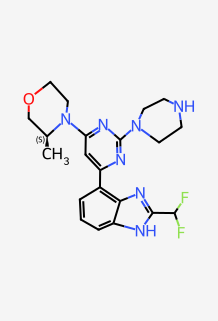 C[C@H]1COCCN1c1cc(-c2cccc3[nH]c(C(F)F)nc23)nc(N2CCNCC2)n1